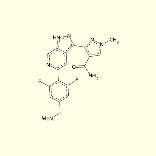 CNCc1cc(F)c(-c2cc3c(-c4nn(C)cc4C(N)=O)n[nH]c3cn2)c(F)c1